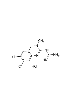 CN(Cc1ccc(Cl)c(Cl)c1)C(=N)NC(=N)N.Cl